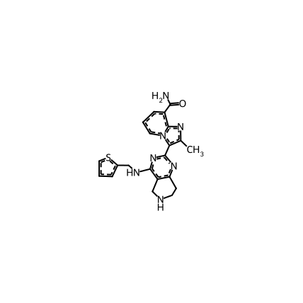 Cc1nc2c(C(N)=O)cccn2c1-c1nc2c(c(NCc3cccs3)n1)CNCC2